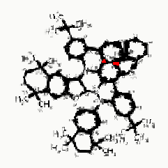 CC(C)(C)c1ccc(N2c3cc4c(sc5ccccc54)c4c3B(C3Oc5cc6c(cc5C32)C(C)(C)CCC6(C)C)N(c2ccc3c(c2)C(C)(C)CCC3(C)C)c2cc(C(C)(C)C)ccc2-4)c(-c2ccccc2)c1